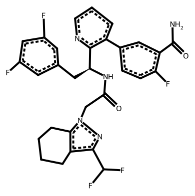 NC(=O)c1cc(-c2cccnc2[C@H](Cc2cc(F)cc(F)c2)NC(=O)Cn2nc(C(F)F)c3c2CCCC3)ccc1F